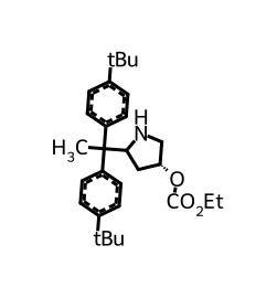 CCOC(=O)O[C@H]1CNC(C(C)(c2ccc(C(C)(C)C)cc2)c2ccc(C(C)(C)C)cc2)C1